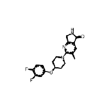 Cc1cc2c(nc1N1CCC(Oc3ccc(F)c(F)c3)CC1)CNC2=O